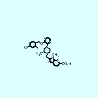 C[C@H]1CN(c2nccnc2OCc2ccc(Cl)cc2F)CCN1Cc1nc2ccc(C(=O)O)nc2n1C